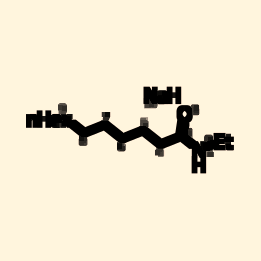 [CH2]CNC(=O)CCCCCCCCCCC.[NaH]